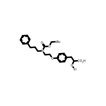 CCOC(Cc1ccc(OCCN(CCCc2ccccc2)C(=O)OCC(C)(C)C)cc1)C(=O)O